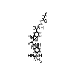 CCOC(=O)CCCNC(=O)c1ccc2nc(C(C)c3nc4cc(NC(=N)N)ccc4[nH]3)n(C)c2c1